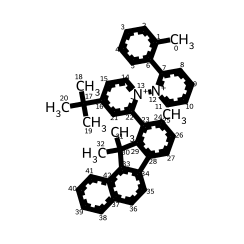 Cc1ccccc1-c1cccc[n+]1-[n+]1ccc(C(C)(C)C)cc1-c1c(C)ccc2c1C(C)(C)c1c-2ccc2ccccc12